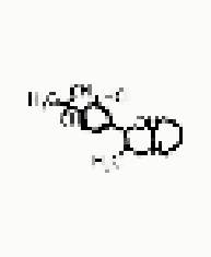 CC(CN1CCCCC1)C(O)c1ccc(C(C)(C)C)cc1.Cl